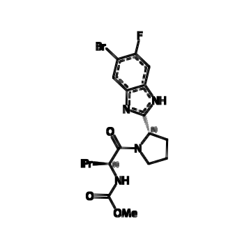 COC(=O)N[C@H](C(=O)N1CCC[C@H]1c1nc2cc(Br)c(F)cc2[nH]1)C(C)C